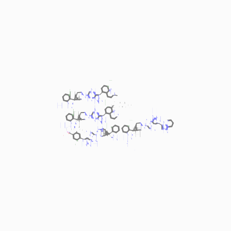 COC(=O)c1ccc(-c2n[nH]c3nc(N4CC[C@@H]5[C@H](C4)[C@@]5(CN)c4ccccc4F)cnc23)c(Cl)c1.COc1c(F)cc(-c2n[nH]c3nc(N4CC[C@@H]5[C@H](C4)[C@@]5(CN)c4ccccc4F)cnc23)c2cccnc12.Cc1ccc2c(-c3n[nH]c4nc(N5CC[C@@H]6[C@H](C5)[C@@]6(CN)c5ccccc5F)cnc34)ccc(F)c2n1.NC[C@]1(c2ccccc2F)[C@@H]2CCN(c3cnc4c(-c5cnc6ccccn56)n[nH]c4n3)C[C@@H]21